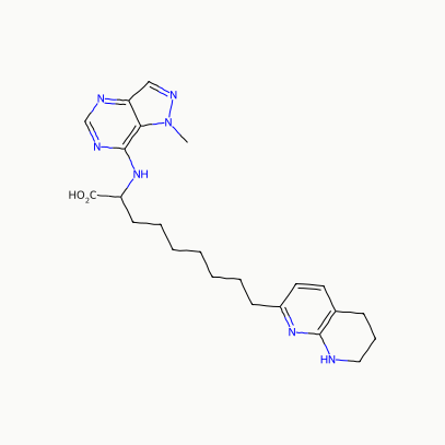 Cn1ncc2ncnc(NC(CCCCCCCc3ccc4c(n3)NCCC4)C(=O)O)c21